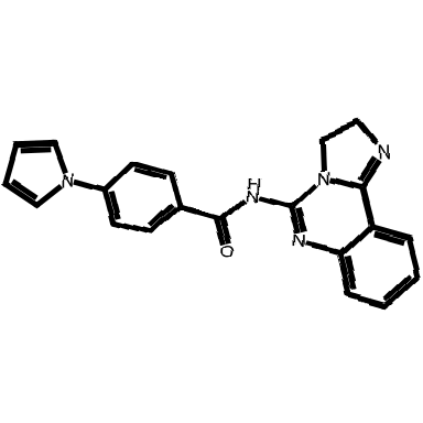 O=C(NC1=Nc2ccccc2C2=NCCN12)c1ccc(-n2cccc2)cc1